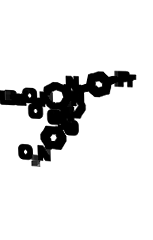 CC(C)c1ccc(-c2nc3c4n2CCN(S(=O)(=O)c2ccc([N+](=O)[O-])cc2)[C@@H]4CN(C(=O)OC(C)(C)C)CC3)cc1